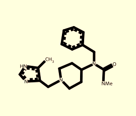 CNC(=O)N(Cc1ccccc1)C1CCN(Cc2nc[nH]c2C)CC1